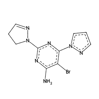 Nc1nc(N2CCC=N2)nc(-n2cccn2)c1Br